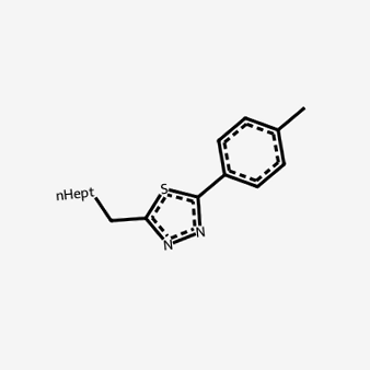 CCCCCCCCc1nnc(-c2ccc(C)cc2)s1